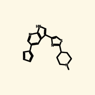 CN1CCC(c2nc(-c3c[nH]c4ncc(C5=C=CC=C5)cc34)cs2)CC1